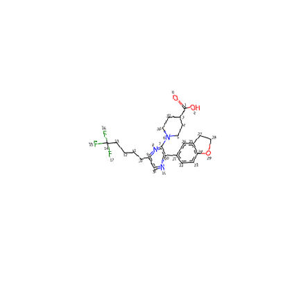 O=C(O)C1CCN(c2nc(CCCCC(F)(F)F)cnc2-c2ccc3c(c2)CCO3)CC1